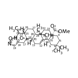 COC(=O)[C@]12CCC(C)(C)C[C@H]1C1=CC[C@@H]3[C@@]4(C)Cc5cnoc5[C@@H](C)[C@@H]4CC[C@@]3(C)[C@]1(C)CC2